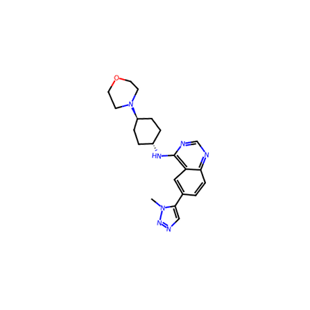 Cn1nncc1-c1ccc2ncnc(N[C@H]3CC[C@H](N4CCOCC4)CC3)c2c1